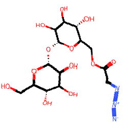 [N-]=[N+]=NCC(=O)OCC1O[C@H](O[C@H]2OC(CO)[C@@H](O)C(O)C2O)C(O)C(O)[C@@H]1O